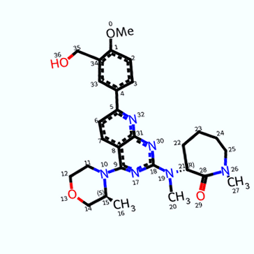 COc1ccc(-c2ccc3c(N4CCOC[C@@H]4C)nc(N(C)[C@@H]4CCCCN(C)C4=O)nc3n2)cc1CO